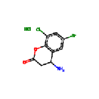 Cl.NC1CC(=O)Oc2c(Cl)cc(Br)cc21